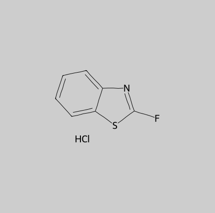 Cl.Fc1nc2ccccc2s1